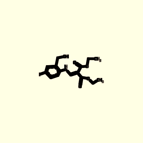 CCOC(=O)C(=CNc1ccc(I)cc1CO)C(=O)OCC